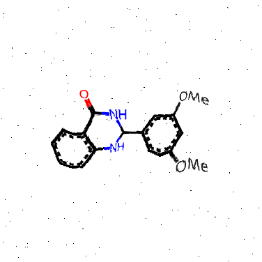 COc1cc(OC)cc(C2NC(=O)c3ccccc3N2)c1